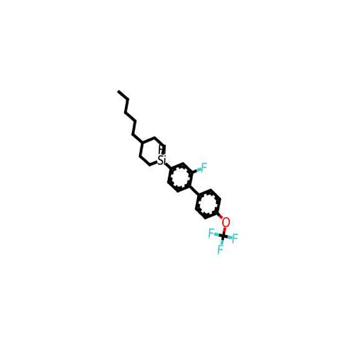 CCCCCC1CC[SiH](c2ccc(-c3ccc(OC(F)(F)F)cc3)c(F)c2)CC1